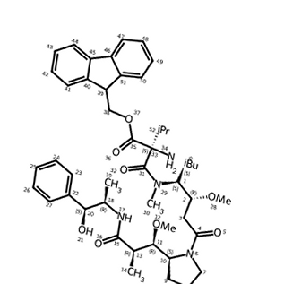 CC[C@H](C)[C@@H]([C@@H](CC(=O)N1CCC[C@H]1[C@H](OC)[C@@H](C)C(=O)N[C@H](C)[C@@H](O)c1ccccc1)OC)N(C)C(=O)[C@](N)(C(=O)OCC1c2ccccc2-c2ccccc21)C(C)C